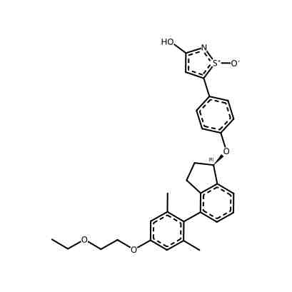 CCOCCOc1cc(C)c(-c2cccc3c2CC[C@H]3Oc2ccc(-c3cc(O)n[s+]3[O-])cc2)c(C)c1